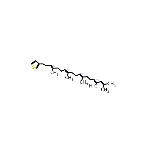 CC(C)=C/C(C)=C/CC/C(C)=C/CC/C(C)=C/CC/C(C)=C/CCc1ccsc1